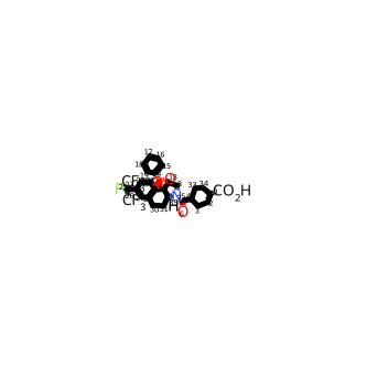 O=C(O)C1CCC(C(=O)N2CC[C@]3(S(=O)(=O)c4ccccc4)c4ccc(C(F)(C(F)(F)F)C(F)(F)F)cc4CC[C@H]23)CC1